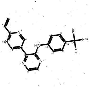 C=Cc1ncc(-c2nccnc2Nc2ccc(C(F)(F)F)cc2)cn1